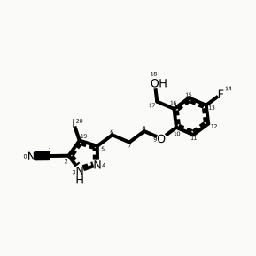 N#Cc1[nH]nc(CCCOc2ccc(F)cc2CO)c1I